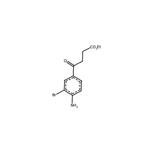 CCOC(=O)CCC(=O)c1ccc(N)c(Br)c1